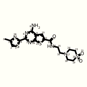 Cc1csc(-c2nc(N)c3cc(C(=O)NCCN4CCS(=O)(=O)CC4)sc3n2)n1